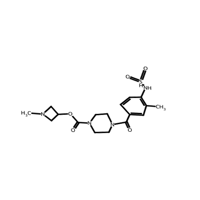 Cc1cc(C(=O)N2CCN(C(=O)OC3CN(C)C3)CC2)ccc1N[SH](=O)=O